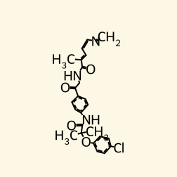 C=N/C=C\C=C(/C)C(=O)NCC(=O)c1ccc(NC(=O)C(C)(C)Oc2ccc(Cl)cc2)cc1